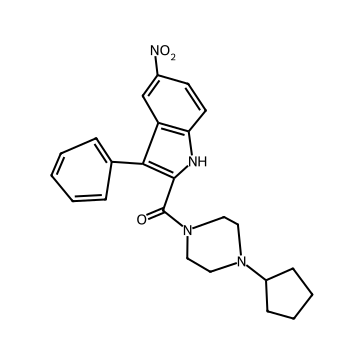 O=C(c1[nH]c2ccc([N+](=O)[O-])cc2c1-c1ccccc1)N1CCN(C2CCCC2)CC1